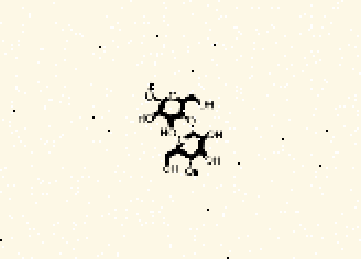 CO[C@H]1OC(CO)[C@@H](O[C@H]2OC(CO)[C@@H](OC)C(O)C2O)C(O)C1O